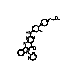 COCCN1CCN(c2ccc(Nc3ncc4c(=O)n5c(nc4n3)c3ccccc3n5-c3ncccn3)cc2C)CC1